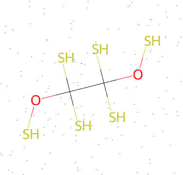 SOC(S)(S)C(S)(S)OS